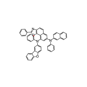 c1ccc(-c2nc3ccc4cc(N(c5ccccc5)c5ccc6ccccc6c5)cc(N(c5ccccc5)c5ccc6oc7ccccc7c6c5)c4c3o2)cc1